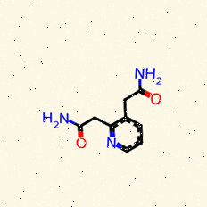 NC(=O)Cc1cccnc1CC(N)=O